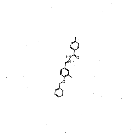 Cc1ccc(C(=O)N/N=C/c2ccc(OCc3ccccc3)c(C)c2)cc1